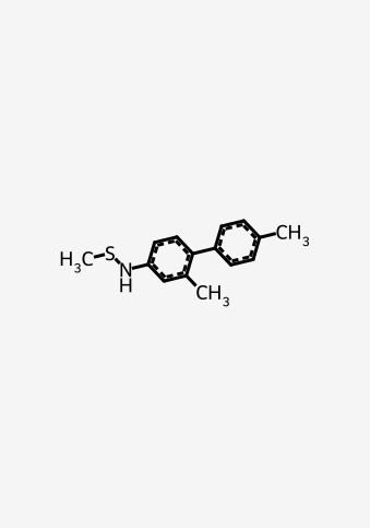 CSNc1ccc(-c2ccc(C)cc2)c(C)c1